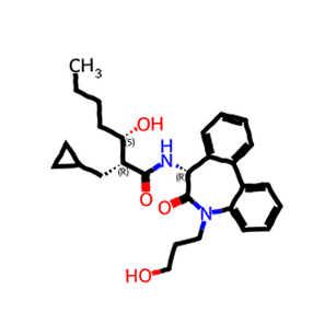 CCCC[C@H](O)[C@@H](CC1CC1)C(=O)N[C@H]1C(=O)N(CCCO)c2ccccc2-c2ccccc21